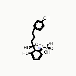 O=P(O)(O)/N=C1\C=CC=C(O)C1C(O)(O)CCCc1ccc(O)cc1